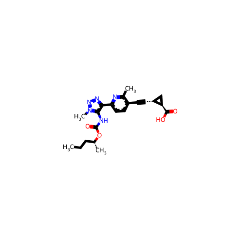 CCC[C@@H](C)OC(=O)Nc1c(-c2ccc(C#C[C@@H]3C[C@H]3C(=O)O)c(C)n2)nnn1C